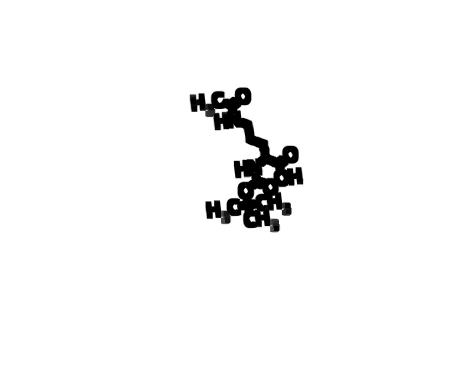 CC(=O)NCCCC(NC(=O)OC(C)(C)C)C(=O)O